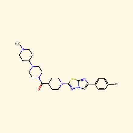 CC(C)c1ccc(-c2cn3nc(N4CCC(C(=O)N5CCN(C6CCN(C)CC6)CC5)CC4)sc3n2)cc1